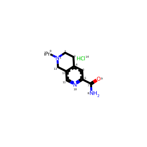 CC(C)N1CCc2cc(C(N)=O)ncc2C1.Cl